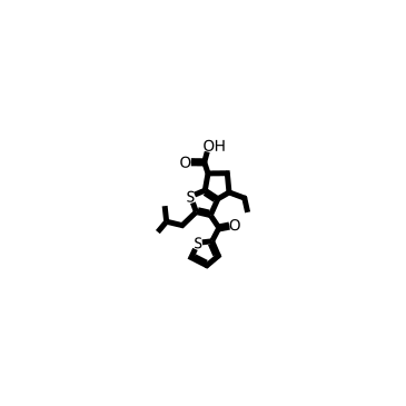 CCC1CC(C(=O)O)c2sc(CC(C)C)c(C(=O)c3cccs3)c21